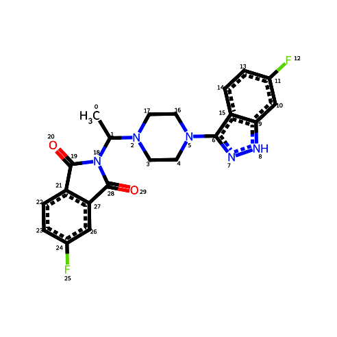 CC(N1CCN(c2n[nH]c3cc(F)ccc23)CC1)N1C(=O)c2ccc(F)cc2C1=O